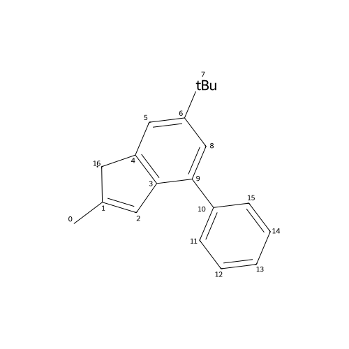 CC1=Cc2c(cc(C(C)(C)C)cc2-c2ccccc2)[CH]1